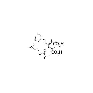 C=C(C)C(=O)OCCN(C)C.CC(=CC(CCc1ccccc1)=C(C)C(=O)O)C(=O)O